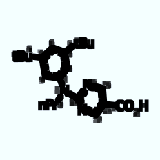 CCCN(c1cc(C(C)(C)C)cc(C(C)(C)C)c1)c1ncc(C(=O)O)cn1